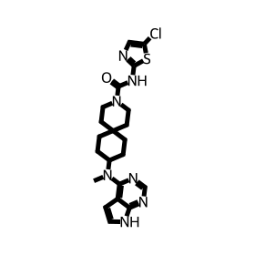 CN(c1ncnc2[nH]ccc12)C1CCC2(CC1)CCN(C(=O)Nc1ncc(Cl)s1)CC2